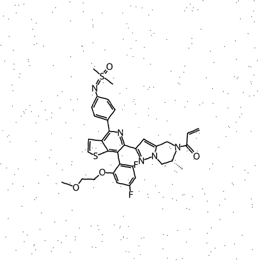 C=CC(=O)N1Cc2cc(-c3nc(-c4ccc(N=S(C)(C)=O)cc4)c4ccsc4c3-c3c(F)cc(F)cc3OCCOC)nn2C[C@H]1C